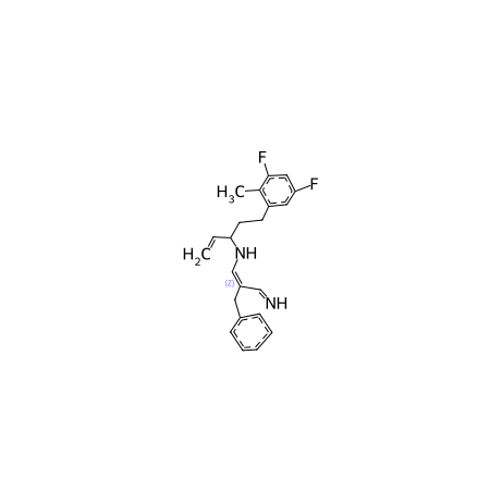 C=CC(CCc1cc(F)cc(F)c1C)N/C=C(\C=N)Cc1ccccc1